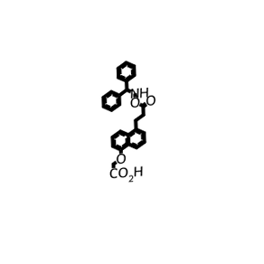 O=C(O)COc1cccc2c(CCC(=O)ONC(c3ccccc3)c3ccccc3)cccc12